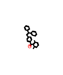 Cc1cccc(C)c1C(=O)c1ccc(C=C(c2ccccc2)c2ccccc2)cc1